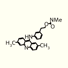 CNC(=O)OCCc1cccc(Nc2c3ccc(C)cc3nc3ccc(C)cc23)c1